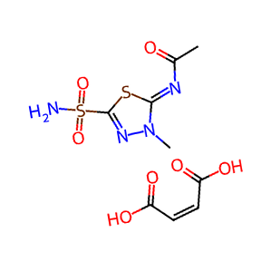 CC(=O)/N=c1\sc(S(N)(=O)=O)nn1C.O=C(O)/C=C\C(=O)O